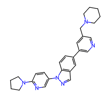 c1ncc(-c2ccc3c(cnn3-c3ccc(N4CCCC4)nc3)c2)cc1CN1CCCCC1